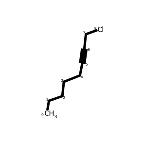 CCCCCC#C[CH]Cl